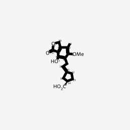 COc1c(C)c2c(c(O)c1C/C=C1\CC[C@@H](C(=O)O)C1)C(=O)OC2